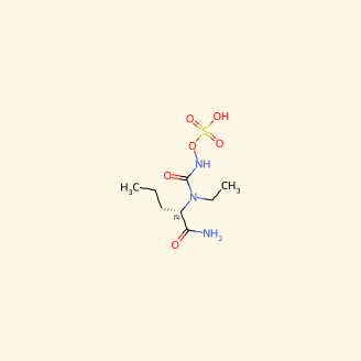 CCC[C@@H](C(N)=O)N(CC)C(=O)NOS(=O)(=O)O